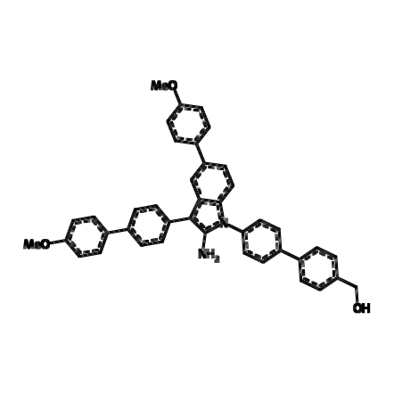 COc1ccc(-c2ccc(-c3c(N)n(-c4ccc(-c5ccc(CO)cc5)cc4)c4ccc(-c5ccc(OC)cc5)cc34)cc2)cc1